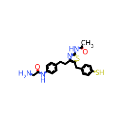 CC(=O)Nc1nc(CCc2ccc(NC(=O)CN)cc2)c(Cc2ccc(S)cc2)s1